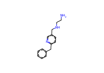 NCCNCc1ccc(Cc2ccccc2)nc1